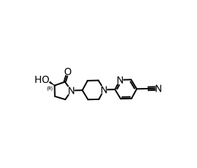 N#Cc1ccc(N2CCC(N3CC[C@@H](O)C3=O)CC2)nc1